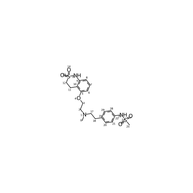 CN(CCOc1cccc2c1CCS(=O)(=O)N2)CCc1ccc(NS(C)(=O)=O)cc1